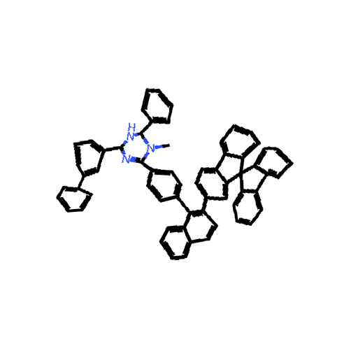 CN1C(c2ccc(-c3c(-c4ccc5c(c4)C4(c6ccccc6-c6ccccc64)c4ccccc4-5)ccc4ccccc34)cc2)=NC(c2cccc(-c3ccccc3)c2)NC1c1ccccc1